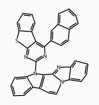 c1ccc2cc(-c3nc(-n4c5ccccc5c5ccn6c7ccccc7nc6c54)nc4sc5ccccc5c34)ccc2c1